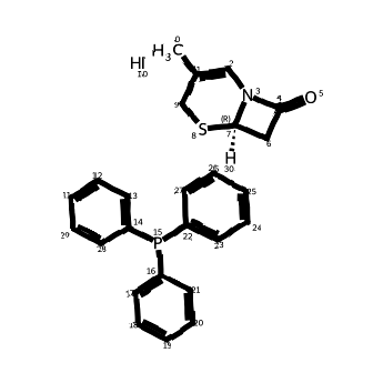 CC1=CN2C(=O)C[C@H]2SC1.I.c1ccc(P(c2ccccc2)c2ccccc2)cc1